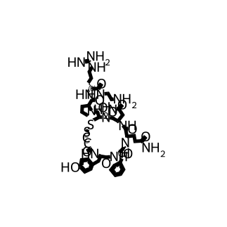 N=C(N)NCCC[C@@H](NC(=O)C1CCCN1C(=O)C1CSSCCC(=O)NC(Cc2ccc(O)cc2)C(=O)N[C@@H](Cc2ccccc2)C(=O)NC(CCC(N)=O)C(=O)NC(CC(N)=O)C(=O)N1)C(=O)NCCN